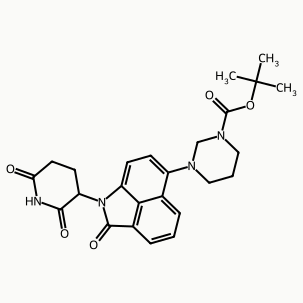 CC(C)(C)OC(=O)N1CCCN(c2ccc3c4c(cccc24)C(=O)N3C2CCC(=O)NC2=O)C1